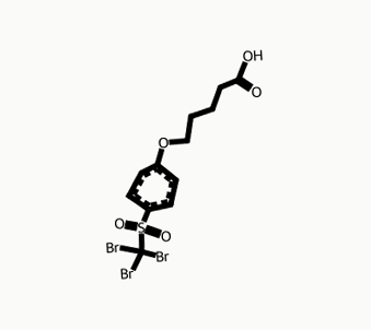 O=C(O)CCCCOc1ccc(S(=O)(=O)C(Br)(Br)Br)cc1